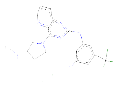 CN[C@H]1CCN(c2nc(Nc3cc(N)cc(C(F)(F)F)c3)nc3cccnc23)C1.Cl.Cl